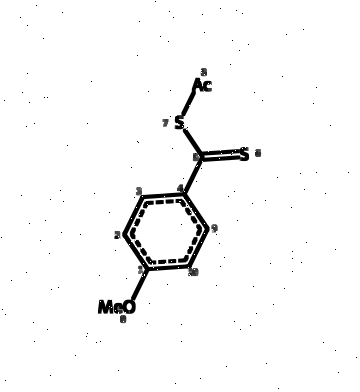 COc1ccc(C(=S)SC(C)=O)cc1